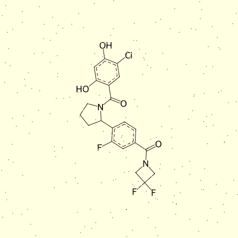 O=C(c1ccc(C2CCCN2C(=O)c2cc(Cl)c(O)cc2O)c(F)c1)N1CC(F)(F)C1